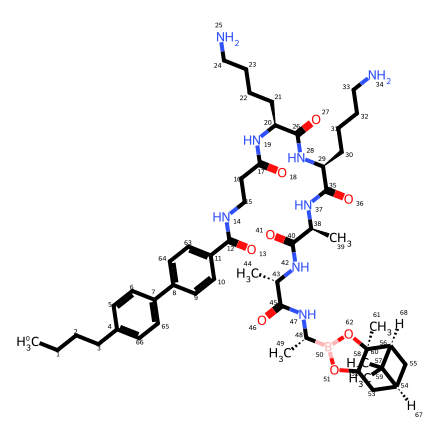 CCCCc1ccc(-c2ccc(C(=O)NCCC(=O)N[C@@H](CCCCN)C(=O)N[C@@H](CCCCN)C(=O)N[C@@H](C)C(=O)N[C@@H](C)C(=O)N[C@@H](C)B3OC4C[C@@H]5C[C@@H](C5(C)C)[C@]4(C)O3)cc2)cc1